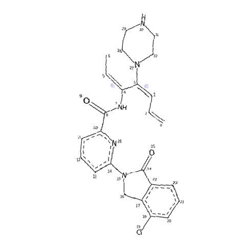 C=C/C=C(\C(=C/C)NC(=O)c1cccc(N2Cc3c(Cl)cccc3C2=O)n1)N1CCNCC1